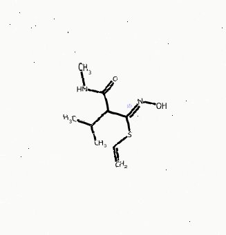 C=CS/C(=N\O)C(C(=O)NC)C(C)C